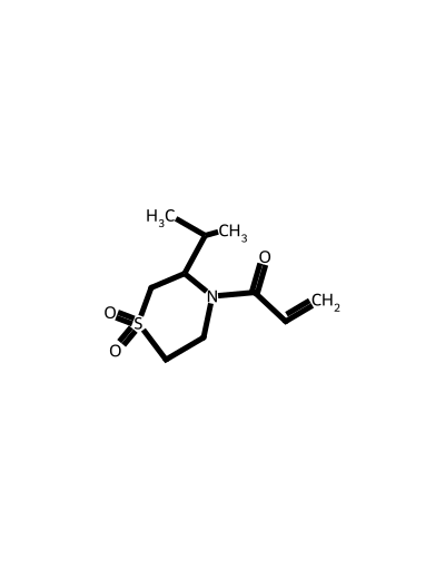 C=CC(=O)N1CCS(=O)(=O)CC1C(C)C